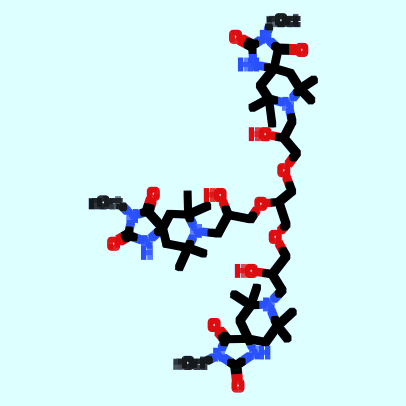 CCCCCCCCN1C(=O)NC2(CC(C)(C)N(CC(O)COCC(COCC(O)CN3C(C)(C)CC4(CC3(C)C)NC(=O)N(CCCCCCCC)C4=O)OCC(O)CN3C(C)(C)CC4(CC3(C)C)NC(=O)N(CCCCCCCC)C4=O)C(C)(C)C2)C1=O